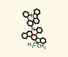 CC1(C)c2ccccc2-c2c(-c3ccccc3N(c3ccc(-c4ccccc4-n4c5ccccc5c5ccccc54)cc3)c3ccc4ccccc4c3)cccc21